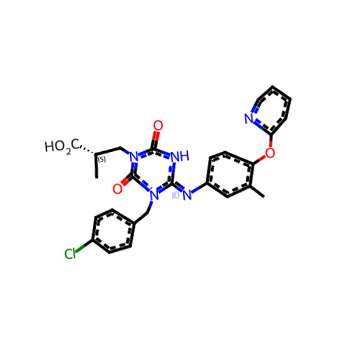 Cc1cc(/N=c2\[nH]c(=O)n(C[C@H](C)C(=O)O)c(=O)n2Cc2ccc(Cl)cc2)ccc1Oc1ccccn1